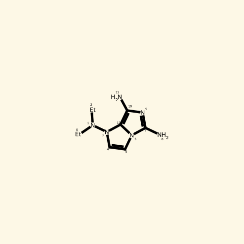 CCN(CC)n1ccn2c(N)nc(N)c12